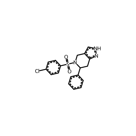 O=S(=O)(c1ccc(Cl)cc1)N1Cc2c[nH]nc2CC1c1ccccc1